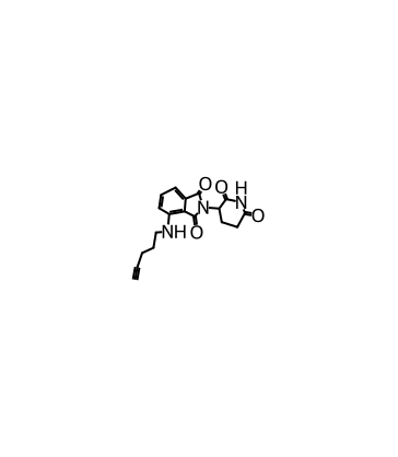 C#CCCCNc1cccc2c1C(=O)N(C1CCC(=O)NC1=O)C2=O